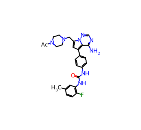 CC(=O)N1CCN(Cc2cc(-c3ccc(NC(=O)Nc4cc(C)ccc4F)cc3)c3c(N)ncnn23)CC1